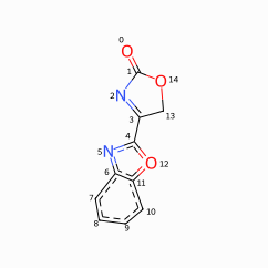 O=C1N=C(c2nc3ccccc3o2)CO1